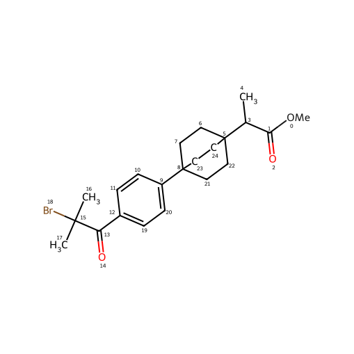 COC(=O)C(C)C12CCC(c3ccc(C(=O)C(C)(C)Br)cc3)(CC1)CC2